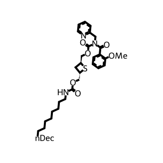 CCCCCCCCCCCCCCCCCCNC(=O)OC[C@@H]1C[C@@H](COC(=O)N(Cc2ccccn2)C(=O)c2ccccc2OC)S1